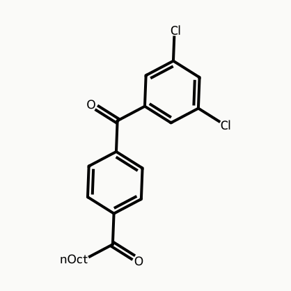 CCCCCCCCC(=O)c1ccc(C(=O)c2cc(Cl)cc(Cl)c2)cc1